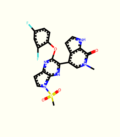 Cn1cc(-c2nc3c(ccn3S(C)(=O)=O)nc2Oc2ccc(F)cc2F)c2cc[nH]c2c1=O